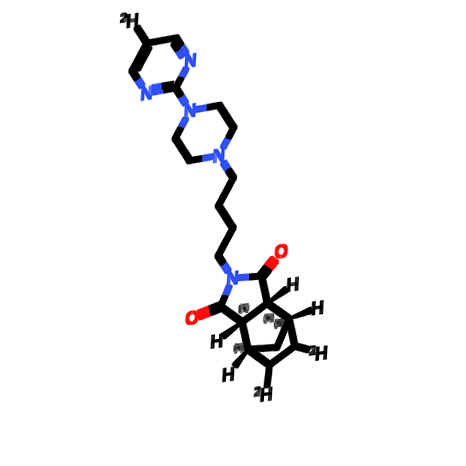 [2H]c1cnc(N2CCN(CCCCN3C(=O)[C@@H]4[C@H](C3=O)[C@H]3C[C@@H]4C([2H])C3[2H])CC2)nc1